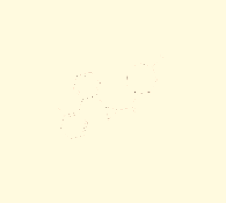 NC1CCCN(C(=O)C2CC2c2ccccc2-c2cc(F)ccc2F)CC1